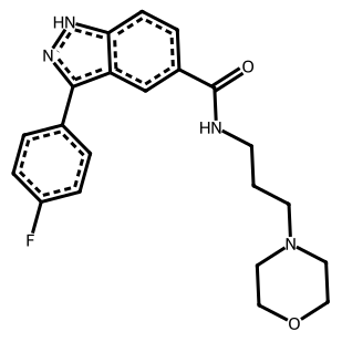 O=C(NCCCN1CCOCC1)c1ccc2[nH]nc(-c3ccc(F)cc3)c2c1